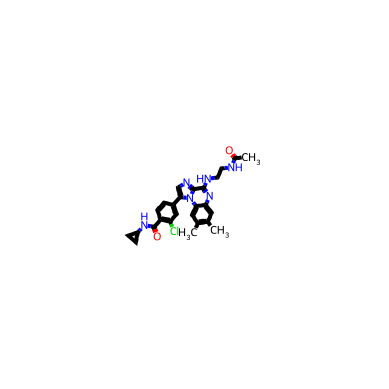 CC(=O)NCCNc1nc2cc(C)c(C)cc2n2c(-c3ccc(C(=O)NC4CC4)c(Cl)c3)cnc12